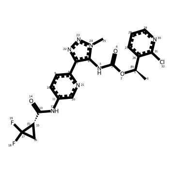 C[C@@H](OC(=O)Nc1c(-c2ccc(NC(=O)[C@@H]3CC3(F)F)cn2)nnn1C)c1cccnc1Cl